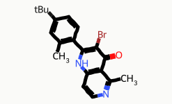 Cc1cc(C(C)(C)C)ccc1-c1[nH]c2ccnc(C)c2c(=O)c1Br